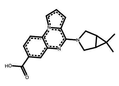 CC1(C)C2CN(c3nc4cc(C(=O)O)ccc4n4cccc34)CC21